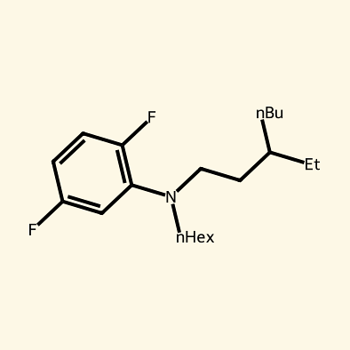 CCCCCCN(CCC(CC)CCCC)c1cc(F)ccc1F